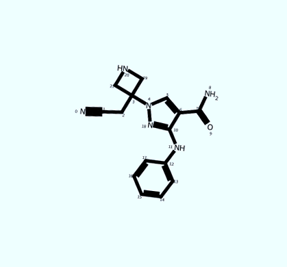 N#CCC1(n2cc(C(N)=O)c(Nc3ccccc3)n2)CNC1